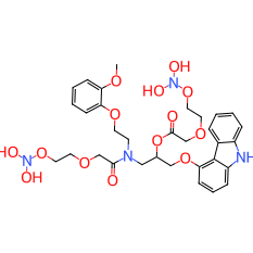 COc1ccccc1OCCN(CC(COc1cccc2[nH]c3ccccc3c12)OC(=O)COCCON(O)O)C(=O)COCCON(O)O